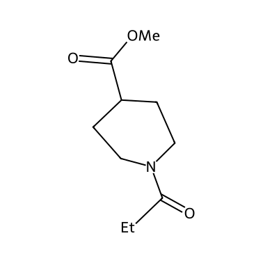 CCC(=O)N1CCC(C(=O)OC)CC1